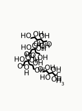 CC(O)(C(O)C=O)C(O)C(O)CO.CC(O)(C(O)C=O)C(O)CO.CC(O)C(O)C(O)C(O)C=O.O=CC(O)C(O)C(O)C(O)CO